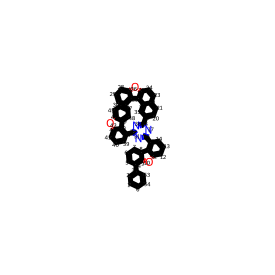 c1ccc(-c2cccc3c2oc2cccc(-c4nc(-c5ccc6ccc7oc8ccccc8c7c6c5)nc(-c5cccc6oc7ccccc7c56)n4)c23)cc1